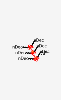 CCCCCCCCCCCCCCCCOP(=O)([O-])OCCCCCCCCCCCCCCCC.CCCCCCCCCCCCCCCCOP(=O)([O-])OCCCCCCCCCCCCCCCC.CCCCCCCCCCCCCCCCOP(=O)([O-])OCCCCCCCCCCCCCCCC.[Al+3]